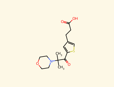 CC(C)(C(=O)c1cc(CCC(=O)O)cs1)N1CCOCC1